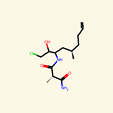 C=CCC[C@@H](C)CC(NC(=O)[C@@H](C)C(N)=O)C(O)CCl